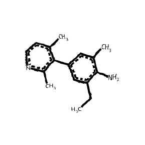 CCc1cc(-c2c(C)ccnc2C)cc(C)c1N